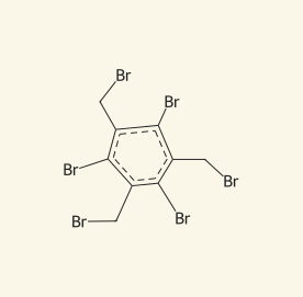 BrCc1c(Br)c(CBr)c(Br)c(CBr)c1Br